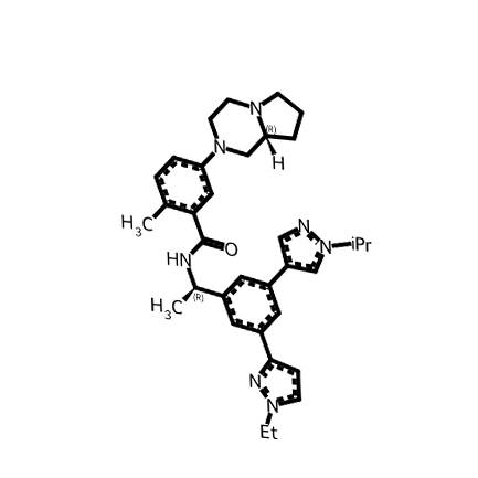 CCn1ccc(-c2cc(-c3cnn(C(C)C)c3)cc([C@@H](C)NC(=O)c3cc(N4CCN5CCC[C@@H]5C4)ccc3C)c2)n1